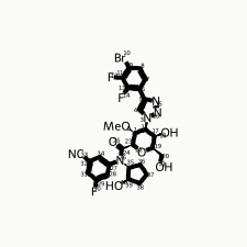 CO[C@@H]1[C@@H](n2cc(-c3ccc(Br)c(F)c3F)nn2)[C@@H](O)[C@@H](CO)O[C@H]1C(=O)N(c1cc(F)cc(C#N)c1)[C@@H]1CCC[C@H]1O